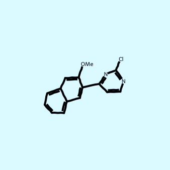 COc1cc2ccccc2cc1-c1ccnc(Cl)n1